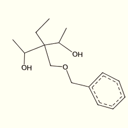 CCC(COCc1ccccc1)(C(C)O)C(C)O